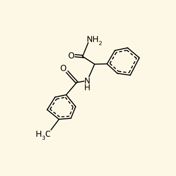 Cc1ccc(C(=O)NC(C(N)=O)c2ccccc2)cc1